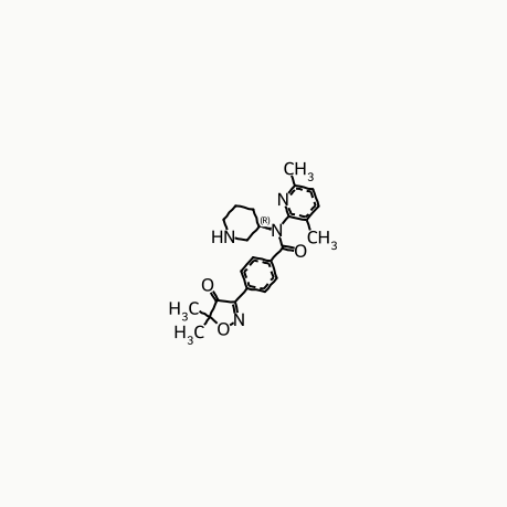 Cc1ccc(C)c(N(C(=O)c2ccc(C3=NOC(C)(C)C3=O)cc2)[C@@H]2CCCNC2)n1